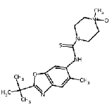 Cc1cc2nc(C(C)(C)C)oc2cc1NC(=S)N1CC[N+](C)([O-])CC1